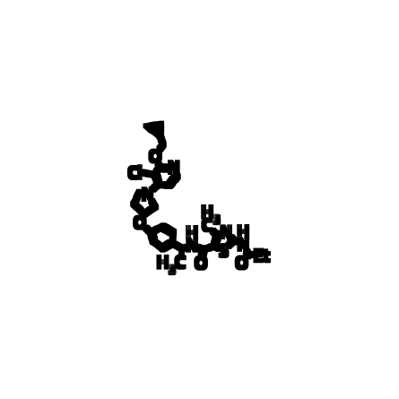 CCC(=O)Nc1nc(C)c(C(=O)N[C@@H](C)c2ccc(O[C@@H]3CCN(c4ccnc(OCC5CC5)c4Cl)C3)cc2)s1